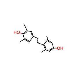 Cc1cc(C=Cc2c(C)cc(O)cc2C)cc(C)c1O